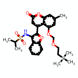 Cc1cc(OCOCC[Si](C)(C)C)c2c(-c3oc4ccccc4c3NS(=O)(=O)C(C)C)cc(=O)oc2c1